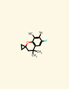 [2H]c1c(F)cc2c(c1C#N)OC1(CC1)CC2(C)C